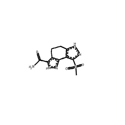 CS(=O)(=O)c1n[nH]c2c1-c1n[nH]c(C(N)=O)c1CC2